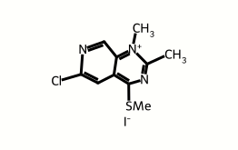 CSc1nc(C)[n+](C)c2cnc(Cl)cc12.[I-]